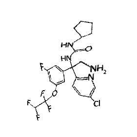 NCC(NC(=O)NC1CCCC1)(c1cc(F)cc(OC(F)(F)C(F)F)c1)c1ccc(Cl)cn1